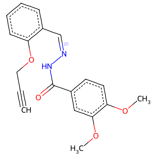 C#CCOc1ccccc1/C=N\NC(=O)c1ccc(OC)c(OC)c1